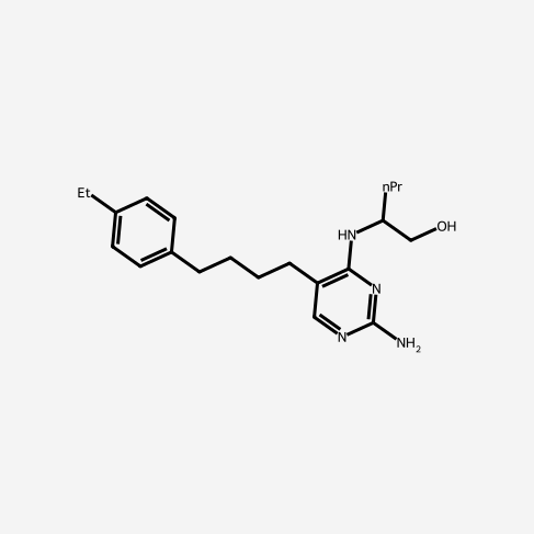 CCCC(CO)Nc1nc(N)ncc1CCCCc1ccc(CC)cc1